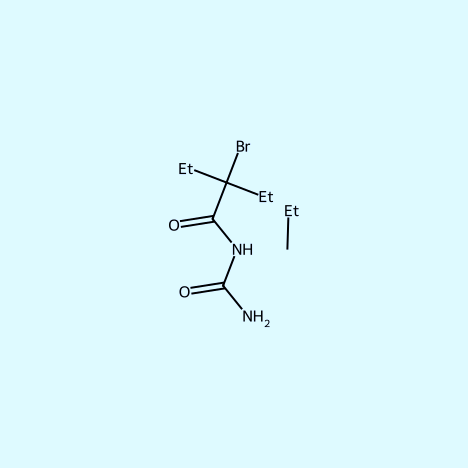 CCC.CCC(Br)(CC)C(=O)NC(N)=O